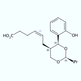 CC(C)[C@H]1OC[C@@H](C/C=C\CCC(=O)O)[C@@H](c2ccccc2O)O1